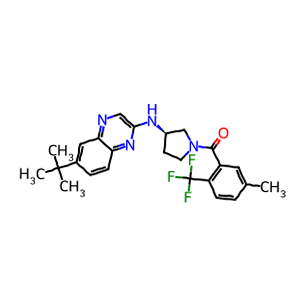 Cc1ccc(C(F)(F)F)c(C(=O)N2CC[C@@H](Nc3cnc4cc(C(C)(C)C)ccc4n3)C2)c1